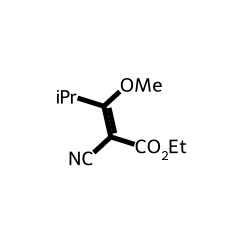 CCOC(=O)/C(C#N)=C(\OC)C(C)C